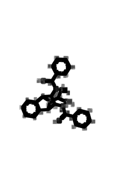 CC(C)N1C2c3ccccc3C1C(OC(=O)c1ccccc1)C2OC(=O)c1ccccc1